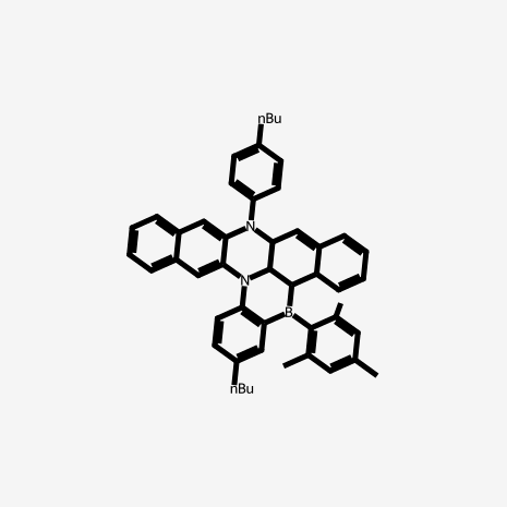 CCCCc1ccc(N2c3cc4ccccc4cc3N3c4ccc(CCCC)cc4B(c4c(C)cc(C)cc4C)C4C5C=CC=CC5=CC2C43)cc1